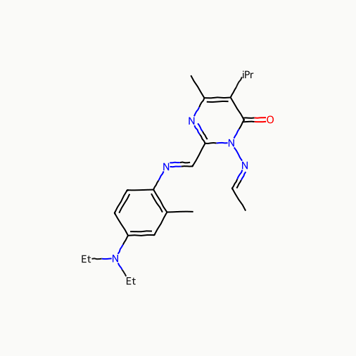 C/C=N/n1c(C=Nc2ccc(N(CC)CC)cc2C)nc(C)c(C(C)C)c1=O